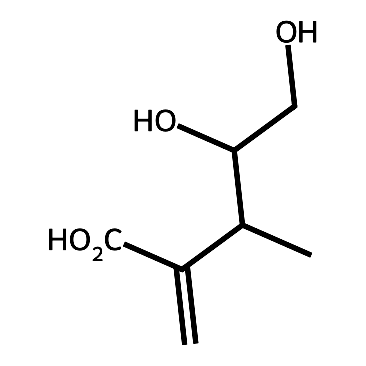 C=C(C(=O)O)C(C)C(O)CO